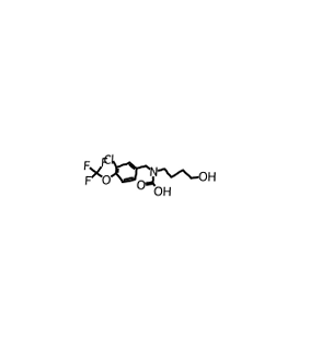 O=C(O)N(CCCCO)Cc1ccc(OC(F)(F)F)c(Cl)c1